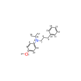 COc1ccc(N(CCCc2ccccc2)C(C)C)cc1